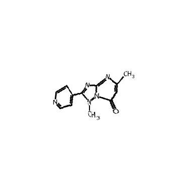 Cc1cc(=O)n2c(n1)nc(-c1ccncc1)n2C